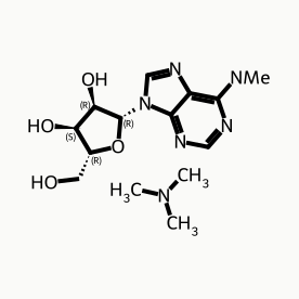 CN(C)C.CNc1ncnc2c1ncn2[C@@H]1O[C@H](CO)[C@@H](O)[C@H]1O